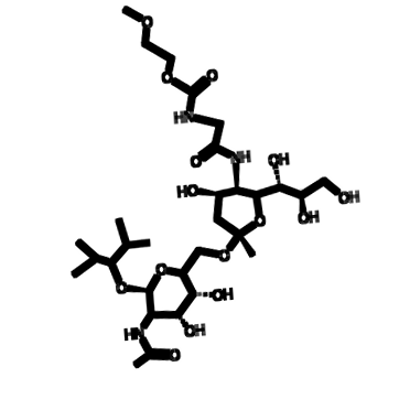 COCCOC(=O)NCC(=O)N[C@H]1C([C@H](O)[C@H](O)CO)O[C@](C)(OCC2O[C@H](OC(C(C)C)C(C)C)C(NC(C)=O)[C@@H](O)[C@H]2O)C[C@H]1O